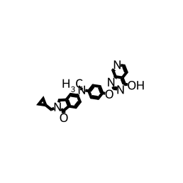 CN(c1ccc(Oc2nc(O)c3ccncc3n2)cc1)c1ccc2c(c1)CN(CC1CC1)C2=O